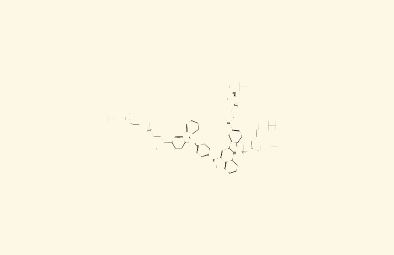 CCCCC(CC)Cn1c2ccc(C(=O)CCC(=O)OCC)cc2c2cc(C(=O)c3ccc(-n4c5ccccc5c5cc(C(=O)CCC(=O)OCCC)ccc54)cc3)c3ccccc3c21